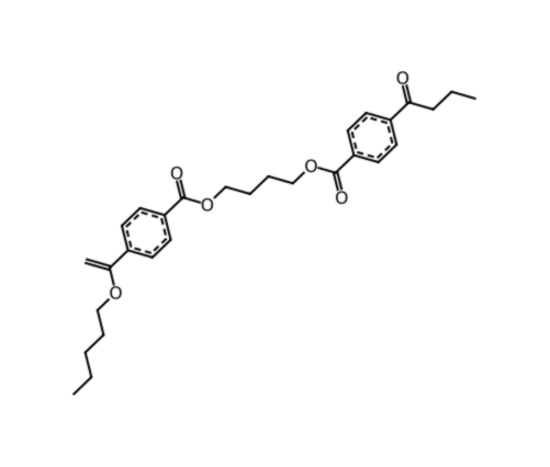 C=C(OCCCCC)c1ccc(C(=O)OCCCCOC(=O)c2ccc(C(=O)CCC)cc2)cc1